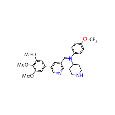 COc1cc(-c2cncc(CN(c3ccc(OC(F)(F)F)cc3)C3CCNCC3)c2)cc(OC)c1OC